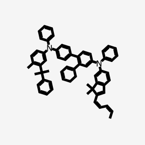 C/C=C\C=C/C1=Cc2ccc(N(c3ccccc3)c3ccc(-c4ccc(N(c5ccccc5)c5ccc(C)c(C(C)(C)c6ccccc6)c5)cc4)c(C4=CC=CCC4)c3)cc2C1(C)C